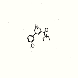 CCN(CC)C(=O)C1=CC(c2cccc(OC)c2)CN(C)C1